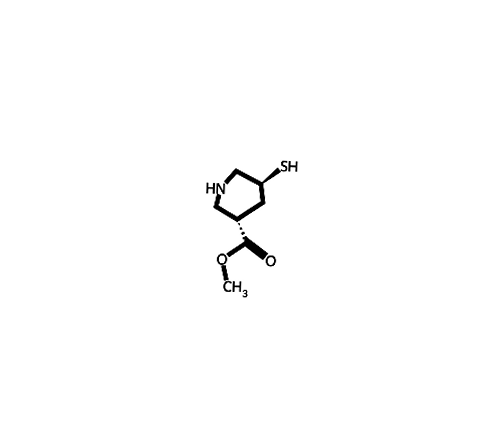 COC(=O)[C@@H]1CNC[C@@H](S)C1